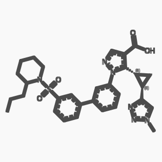 CCCC1CCCCN1S(=O)(=O)c1cccc(-c2cccc(-n3ncc(C(=O)O)c3[C@@H]3C[C@H]3c3cn(C)nn3)c2)c1